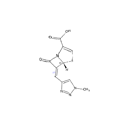 Cn1cc(/C=C2/C(=O)N3C(C(=O)O)=CS[C@H]23)nn1